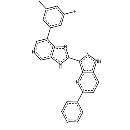 Cc1cc(F)cc(-c2cncc3[nH]c(-c4n[nH]c5ccc(-c6ccncc6)nc45)nc23)c1